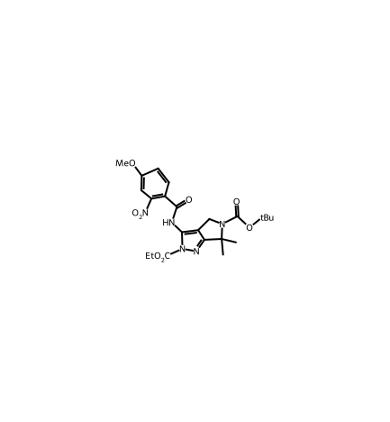 CCOC(=O)n1nc2c(c1NC(=O)c1ccc(OC)cc1[N+](=O)[O-])CN(C(=O)OC(C)(C)C)C2(C)C